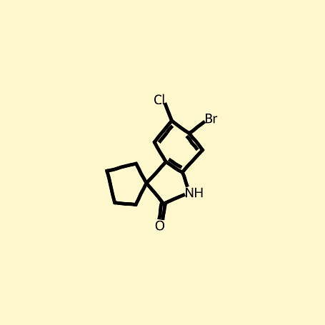 O=C1Nc2cc(Br)c(Cl)cc2C12CCCC2